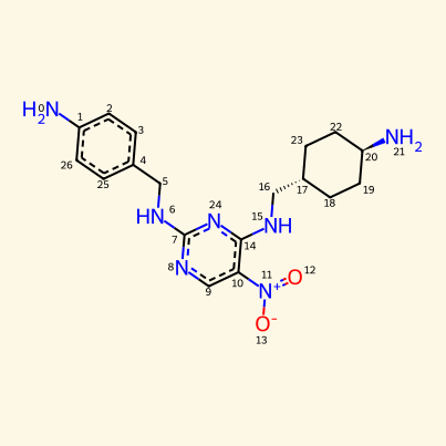 Nc1ccc(CNc2ncc([N+](=O)[O-])c(NC[C@H]3CC[C@H](N)CC3)n2)cc1